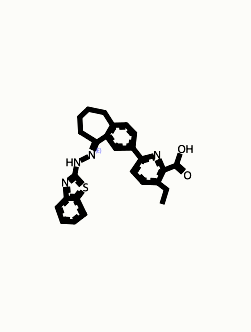 CCc1ccc(-c2ccc3c(c2)/C(=N/Nc2nc4ccccc4s2)CCCC3)nc1C(=O)O